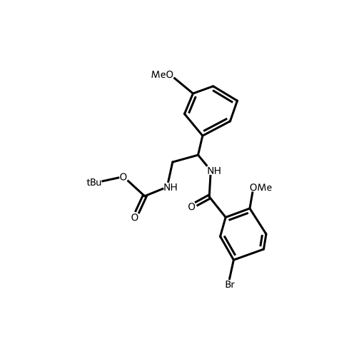 COc1cccc(C(CNC(=O)OC(C)(C)C)NC(=O)c2cc(Br)ccc2OC)c1